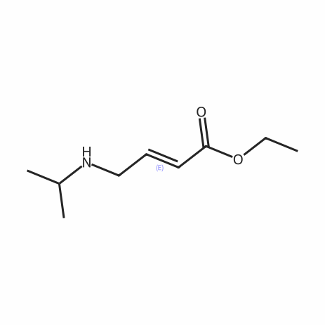 CCOC(=O)/C=C/CNC(C)C